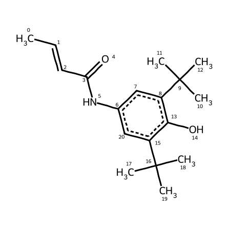 CC=CC(=O)Nc1cc(C(C)(C)C)c(O)c(C(C)(C)C)c1